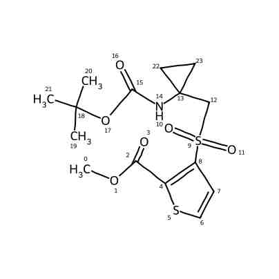 COC(=O)c1sccc1S(=O)(=O)CC1(NC(=O)OC(C)(C)C)CC1